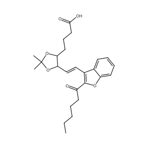 CCCCCC(=O)c1oc2ccccc2c1/C=C/C1OC(C)(C)OC1CCCC(=O)O